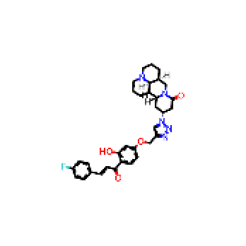 O=C(/C=C/c1ccc(F)cc1)c1ccc(OCc2cn([C@H]3CC(=O)N4C[C@@H]5CCCN6CCC[C@@H]([C@H]56)[C@H]4C3)nn2)cc1O